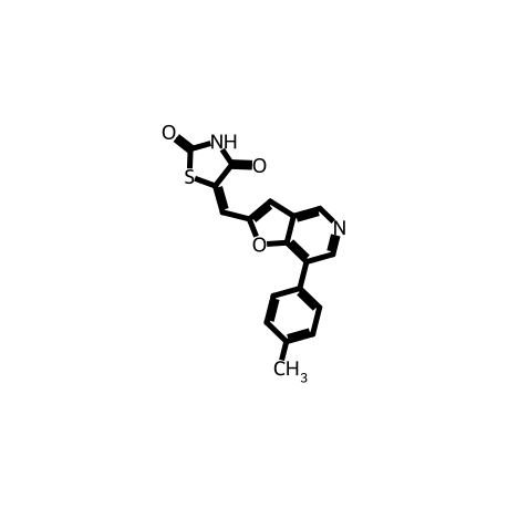 Cc1ccc(-c2cncc3cc(/C=C4/SC(=O)NC4=O)oc23)cc1